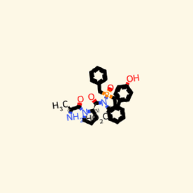 C[C@H](N)C(=O)N1CCC[C@H]1C(=O)N([C@@H](Cc1ccc(O)cc1)C(=O)O)P(=O)(Cc1ccccc1)Cc1ccccc1